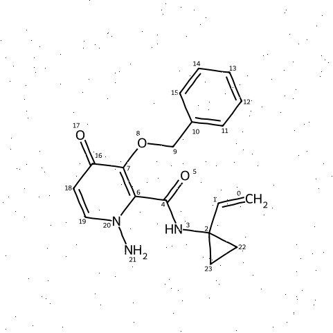 C=CC1(NC(=O)c2c(OCc3ccccc3)c(=O)ccn2N)CC1